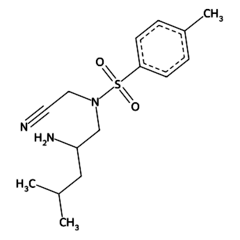 Cc1ccc(S(=O)(=O)N(CC#N)CC(N)CC(C)C)cc1